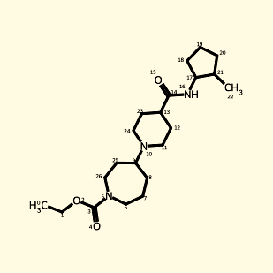 CCOC(=O)N1CCCC(N2CCC(C(=O)NC3CCCC3C)CC2)CC1